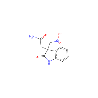 NC(=O)CC1(C[N+](=O)[O-])C(=O)Nc2ccccc21